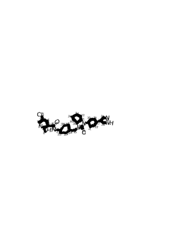 Cc1ncc(Cl)cc1C(=O)NC1CCC(Cn2c(=O)n(-c3ccc(-c4cn[nH]c4)cc3)c3ccccc32)CC1